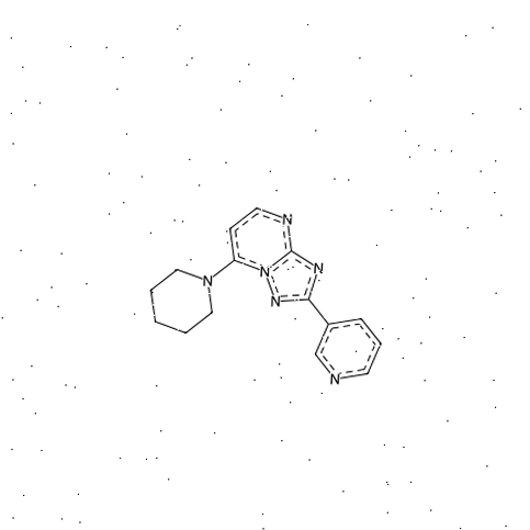 c1cncc(-c2nc3nccc(N4CCCCC4)n3n2)c1